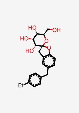 CCc1ccc(Cc2ccc3c(c2)C[C@]2(O3)O[C@H](CO)[C@@H](O)[C@H](O)[C@H]2O)cc1